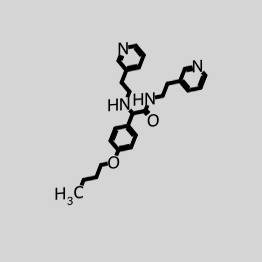 CCCCOc1ccc(C(NCCc2cccnc2)C(=O)NCCc2cccnc2)cc1